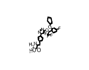 NC(Cc1ccc(-c2cc(OC(c3ccc(F)cc3OC3CCCC3)C(F)(F)F)ncn2)cc1)C(=O)O